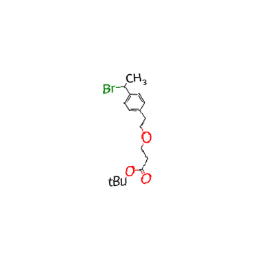 CC(Br)c1ccc(CCOCCC(=O)OC(C)(C)C)cc1